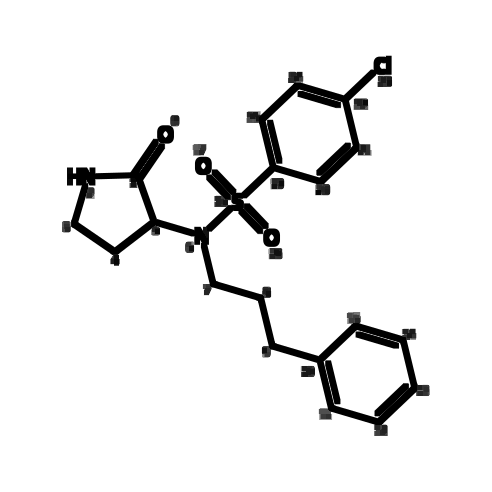 O=C1NCCC1N(CCCc1ccccc1)S(=O)(=O)c1ccc(Cl)cc1